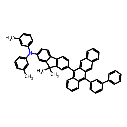 Cc1cccc(N(c2cccc(C)c2)c2ccc3c(c2)C(C)(C)c2cc(-c4c5ccccc5c(-c5cccc(-c6ccccc6)c5)c5cc6ccccc6cc45)ccc2-3)c1